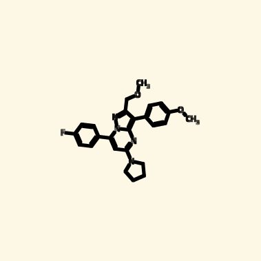 COCc1nn2c(-c3ccc(F)cc3)cc(N3CCCC3)nc2c1-c1ccc(OC)cc1